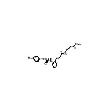 COC(=O)CCCNC(=O)CCc1ccccc1NC(=O)Nc1ccc(Br)cc1